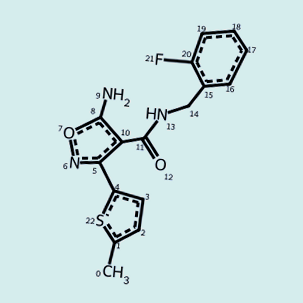 Cc1ccc(-c2noc(N)c2C(=O)NCc2ccccc2F)s1